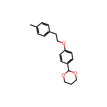 Cc1ccc(CCOc2ccc(C3OCCCO3)cc2)cc1